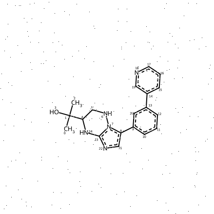 CC(C)(O)C1CNn2c(-c3cccc(-c4cccnc4)c3)cnc2N1